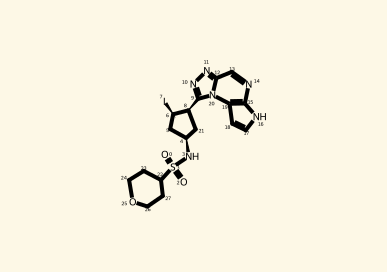 O=S(=O)(N[C@H]1C[C@@H](I)[C@@H](c2nnc3cnc4[nH]ccc4n23)C1)C1CCOCC1